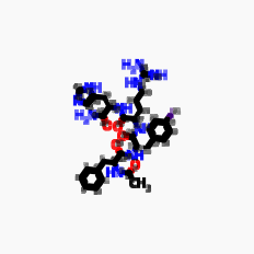 CC(=O)NC(Cc1ccccc1)C(=O)N[C@@H](Cc1ccc(I)cc1)C(=O)N[C@H](CCCNC(=N)N)C(=O)N[C@H](Cc1cnc[nH]1)C(N)=O